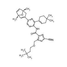 CC1(C)CC=C(c2nc(C3=C[C@]4(C)C=C[C@](C)(C3)O4)ccc2NC(=O)c2nc(C#N)cn2COCC[Si](C)(C)C)CC1